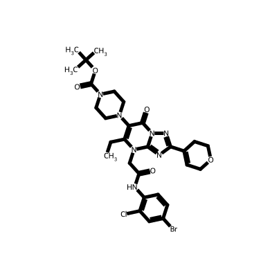 CCc1c(N2CCN(C(=O)OC(C)(C)C)CC2)c(=O)n2nc(C3=CCOCC3)nc2n1CC(=O)Nc1ccc(Br)cc1Cl